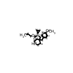 C=CCOC(=O)N(CC1(Cc2ccc(OC)nc2)CCNCC1)C1CC1